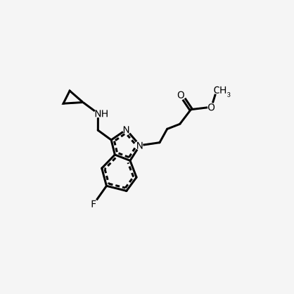 COC(=O)CCCn1nc(CNC2CC2)c2cc(F)ccc21